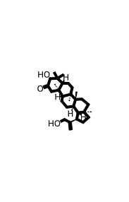 C=C(CO)[C@@H]1CC[C@]2(C)CC[C@]3(C)[C@H](CC[C@@H]4[C@@]5(C)CC(=O)[C@H](O)C(C)(C)[C@@H]5CC[C@]43C)[C@@H]12